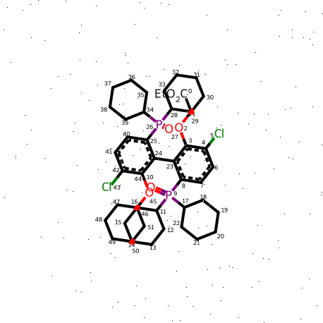 CCOC(=O)COc1c(Cl)ccc(P(=O)(C2CCCCC2)C2CCCCC2)c1-c1c(P(=O)(C2CCCCC2)C2CCCCC2)ccc(Cl)c1OC1CCCCC1